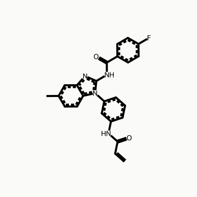 C=CC(=O)Nc1cccc(-n2c(NC(=O)c3ccc(F)cc3)nc3cc(C)ccc32)c1